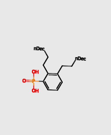 CCCCCCCCCCCCc1cccc(P(=O)(O)O)c1CCCCCCCCCCCC